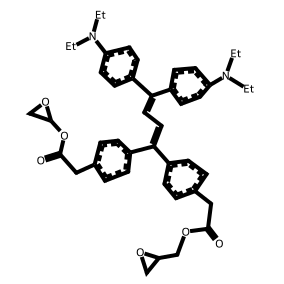 CCN(CC)c1ccc(C(=CC=C(c2ccc(CC(=O)OCC3CO3)cc2)c2ccc(CC(=O)OC3CO3)cc2)c2ccc(N(CC)CC)cc2)cc1